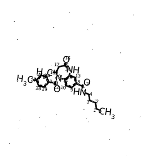 CCCCCNC(=O)c1ccc2c(c1)NC(=O)CC(C)N2C(=O)c1ccc(C)cc1